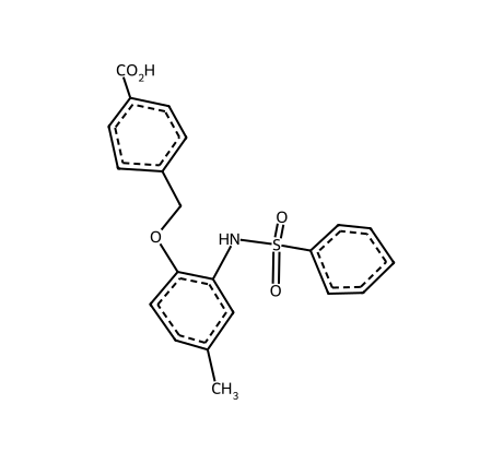 Cc1ccc(OCc2ccc(C(=O)O)cc2)c(NS(=O)(=O)c2ccccc2)c1